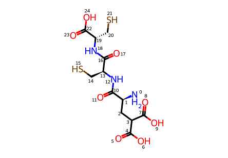 N[C@@H](CC(C(=O)O)C(=O)O)C(=O)N[C@@H](CS)C(=O)N[C@@H](CS)C(=O)O